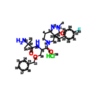 CN1N=C2CCN(C(=O)C(COCc3ccccc3)NC(=O)C(C)(C)N)C[C@@]2(Cc2ccc(F)cc2)C1=O.Cl